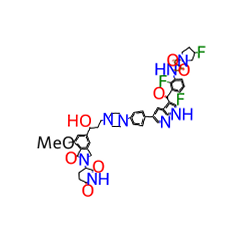 COc1cc([C@H](O)CCN2CCN(c3ccc(-c4cnc5[nH]cc(C(=O)c6c(F)ccc(NS(=O)(=O)N7CC[C@@H](F)C7)c6F)c5c4)cc3)CC2)cc2c1C(=O)N([C@@H]1CCC(=O)NC1=O)C2